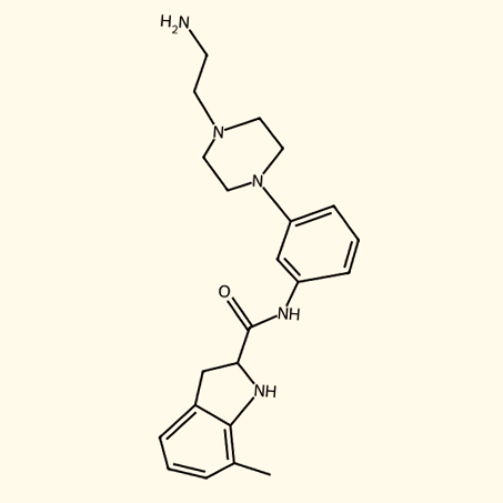 Cc1cccc2c1NC(C(=O)Nc1cccc(N3CCN(CCN)CC3)c1)C2